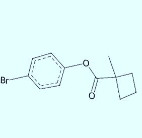 CC1(C(=O)Oc2ccc(Br)cc2)CCC1